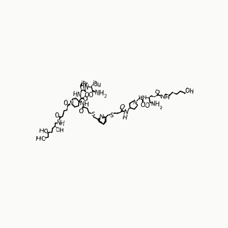 CC[C@H](C)[C@H](NC(=O)[C@H](CC(C)C)NC(=O)C1(NC(=O)CCSCc2cccc(CSCCC(=O)NC3CCN(CC(=O)NC(CCC(=O)NCCCCCCO)C(N)=O)CC3)n2)CCN(C(=O)CCCC(=O)NC[C@H](O)CC[C@H](O)CO)CC1)C(N)=O